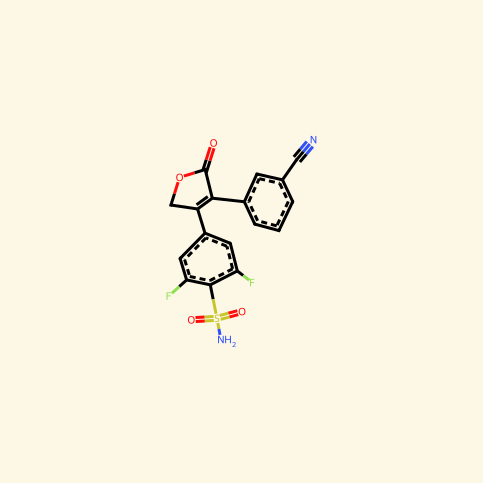 N#Cc1cccc(C2=C(c3cc(F)c(S(N)(=O)=O)c(F)c3)COC2=O)c1